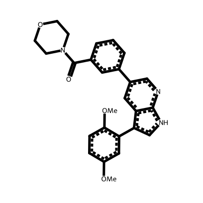 COc1ccc(OC)c(-c2c[nH]c3ncc(-c4cccc(C(=O)N5CCOCC5)c4)cc23)c1